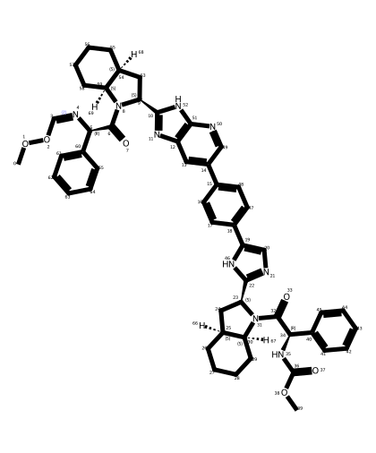 COO/C=N\[C@@H](C(=O)N1[C@H](c2nc3cc(-c4ccc(-c5cnc([C@@H]6C[C@@H]7CCCC[C@@H]7N6C(=O)[C@H](NC(=O)OC)c6ccccc6)[nH]5)cc4)cnc3[nH]2)C[C@@H]2CCCC[C@@H]21)c1ccccc1